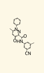 Cc1cc(C#N)cc(NC(=O)c2nn(-c3ccccc3)c(C)cc2=O)c1